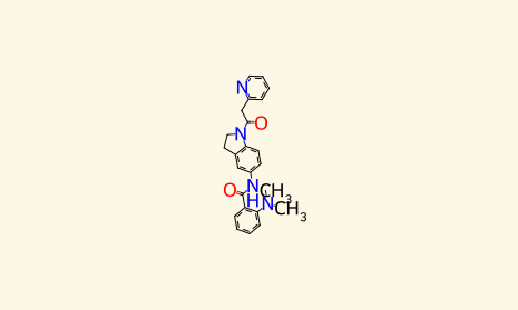 CN(C)c1ccccc1C(=O)Nc1ccc2c(c1)CCN2C(=O)Cc1ccccn1